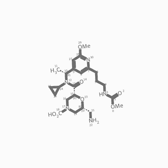 COC(=O)NCCCc1cc([C@@H](C)N(C(=O)[C@H]2CN(C(=O)O)C[C@@H](CN)O2)C2CC2)cc(OC)n1